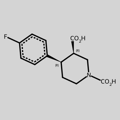 O=C(O)[C@H]1CN(C(=O)O)CC[C@H]1c1ccc(F)cc1